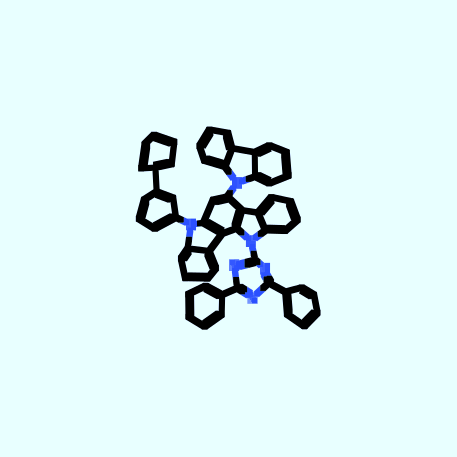 c1ccc(-c2cccc(-n3c4ccccc4c4c3cc(-n3c5ccccc5c5ccccc53)c3c5ccccc5n(-c5nc(-c6ccccc6)nc(-c6ccccc6)n5)c34)c2)cc1